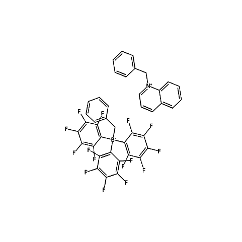 Fc1c(F)c(F)c([B-](Cc2ccccc2)(c2c(F)c(F)c(F)c(F)c2F)c2c(F)c(F)c(F)c(F)c2F)c(F)c1F.c1ccc(C[n+]2cccc3ccccc32)cc1